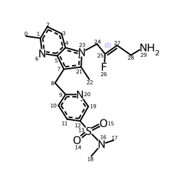 Cc1ccc2c(n1)c(Cc1ccc(S(=O)(=O)N(C)C)cn1)c(C)n2C/C(F)=C/CN